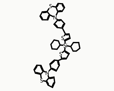 c1ccc2c(c1)Sc1ccccc1N2c1ccc(-c2ccc([Si](c3ccc(-c4ccc(N5c6ccccc6Sc6ccccc65)cc4)s3)(C3CCCCC3)C3CCCCC3)s2)cc1